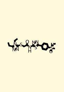 CCc1nnc(SCC(=O)Nc2nnc(-c3ccc(S(C)(=O)=NC)cc3)s2)n1CC